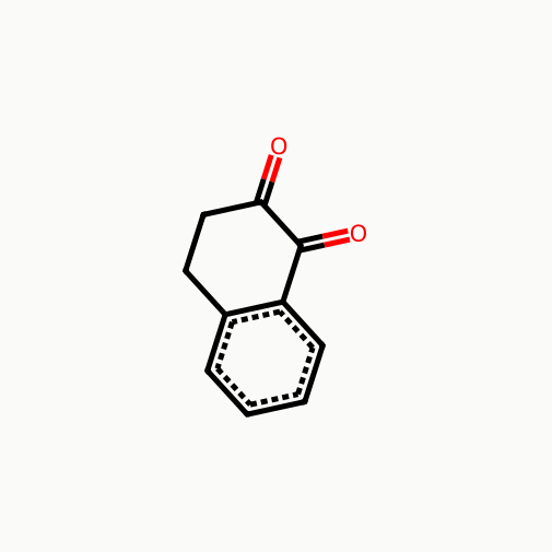 O=C1CCc2ccccc2C1=O